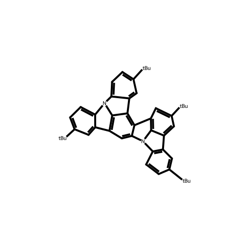 CC(C)(C)c1ccc2c(c1)c1cc(C(C)(C)C)cc3c4c5c6cc(C(C)(C)C)ccc6n6c7ccc(C(C)(C)C)cc7c(cc4n2c13)c56